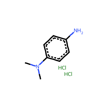 CN(C)c1ccc(N)cc1.Cl.Cl